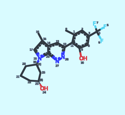 Cc1cc(C(F)(F)F)cc(O)c1-c1cc2c(C)cn([C@@H]3CCC[C@@H](O)C3)c2nn1